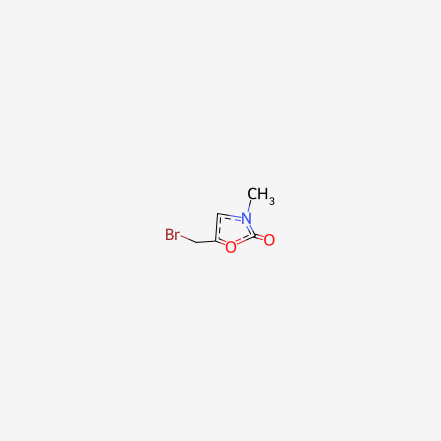 Cn1cc(CBr)oc1=O